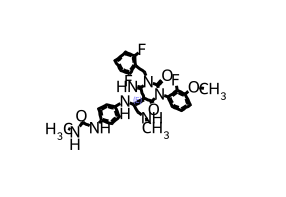 CNC/C(Nc1ccc(NC(=O)NC)cc1)=C1/C(=N)N(Cc2c(F)cccc2F)C(=O)N(c2cccc(OC)c2F)C1=O